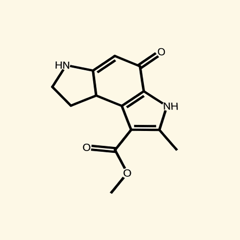 COC(=O)c1c(C)[nH]c2c1C1CCNC1=CC2=O